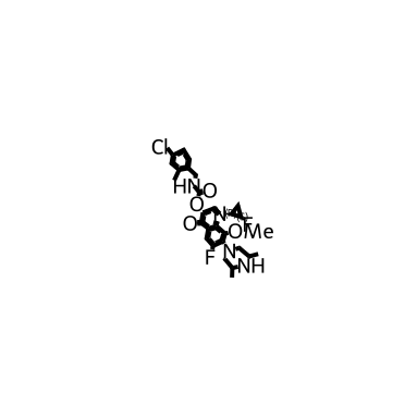 COc1c(N2CC(C)NC(C)C2)c(F)cc2c(=O)c(OC(=O)NCc3ccc(Cl)cc3C)cn([C@@H]3C[C@@H]3F)c12